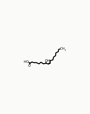 CCCCCCCC/C=C\C(O)CCCCCCC(=O)O